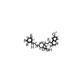 COc1ccc2ncc(F)c([C@H](F)CCC3(CC(=O)O)CCN(CCNc4cc(F)cc(F)c4F)CC3)c2c1